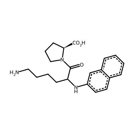 NCCCCC(Nc1ccc2ccccc2c1)C(=O)N1CCC[C@H]1C(=O)O